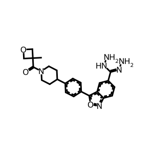 CC1(C(=O)N2CCC(c3ccc(-c4onc5ccc(/C(=N/N)NN)cc45)cc3)CC2)COC1